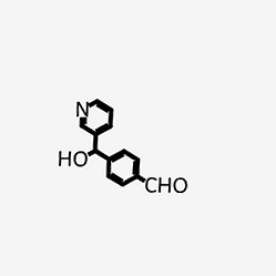 O=Cc1ccc(C(O)c2cccnc2)cc1